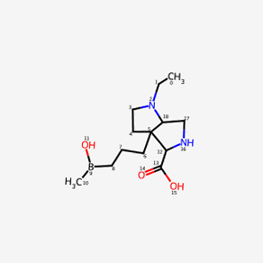 CCN1CCC2(CCCB(C)O)C(C(=O)O)NCC12